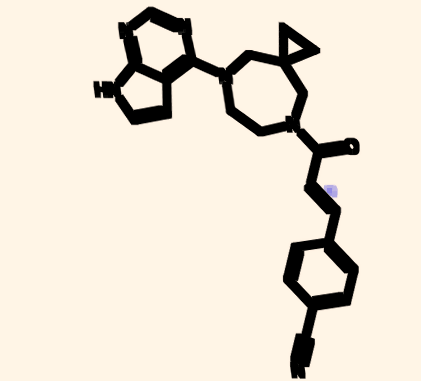 N#Cc1ccc(/C=C/C(=O)N2CCN(c3ncnc4[nH]ccc34)CC3(CC3)C2)cc1